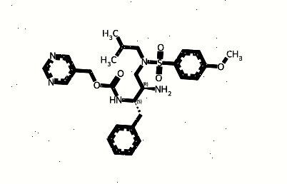 COc1ccc(S(=O)(=O)N(CC(C)C)C[C@@H](N)[C@H](Cc2ccccc2)NC(=O)OCc2cncnc2)cc1